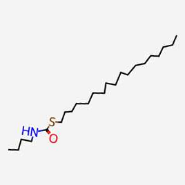 CCCCCCCCCCCCCCCCCCSC(=O)NCCCC